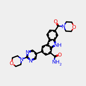 NC(=O)c1cc(-c2cnc(N3CCOCC3)nc2)cc2c1[nH]c1cc(C(=O)N3CCOCC3)ccc12